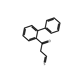 O=C(CC=S)c1ccccc1-c1ccccc1